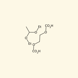 CCOC(C)OCC.O=C(O)OCCOC(=O)O